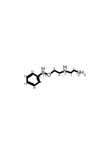 NCCNCCOBc1ccccc1